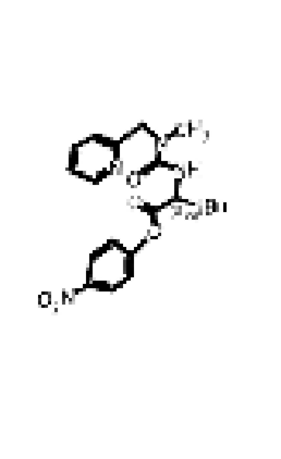 CC[C@H](C)[C@H](NC(=O)N(C)Cc1ccccn1)C(=O)Oc1ccc([N+](=O)[O-])cc1